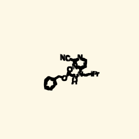 CC(C)CN(NC(=O)OCc1ccccc1)c1ccnc(C#N)n1